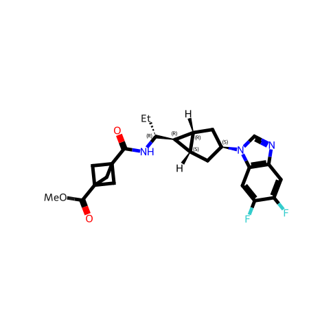 CC[C@@H](NC(=O)C12CC(C(=O)OC)(C1)C2)[C@H]1[C@@H]2C[C@@H](n3cnc4cc(F)c(F)cc43)C[C@@H]21